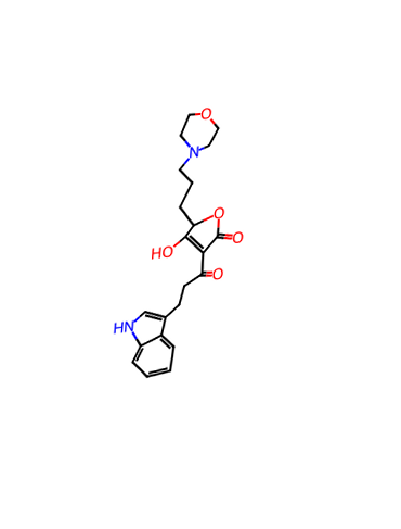 O=C(CCc1c[nH]c2ccccc12)C1=C(O)C(CCCN2CCOCC2)OC1=O